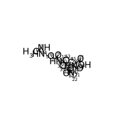 CC(=N)NCCOCC(=O)Nc1ccc(CC(NC(=O)C2CCCN2S(=O)(=O)c2ccccc2)C(=O)O)cc1